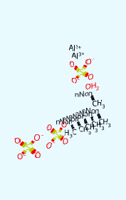 CCCCCCCCCC.CCCCCCCCCC.CCCCCCCCCC.CCCCCCCCCC.CCCCCCCCCC.CCCCCCCCCC.O.O=S(=O)([O-])[O-].O=S(=O)([O-])[O-].O=S(=O)([O-])[O-].[Al+3].[Al+3]